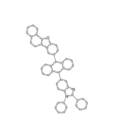 c1ccc(-c2nc3cc(-c4c5ccccc5c(-c5ccc6oc7c8ccccc8ccc7c6c5)c5ccccc45)ccc3n2-c2ccccc2)cc1